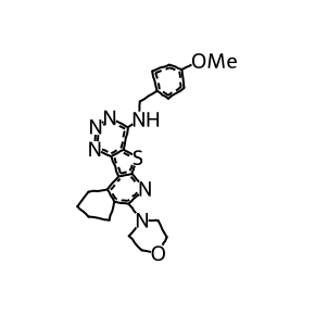 COc1ccc(CNc2nnnc3c2sc2nc(N4CCOCC4)c4c(c23)CCCC4)cc1